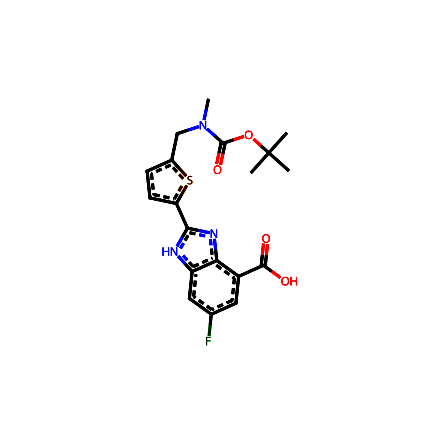 CN(Cc1ccc(-c2nc3c(C(=O)O)cc(F)cc3[nH]2)s1)C(=O)OC(C)(C)C